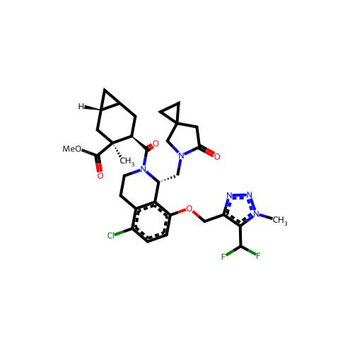 COC(=O)[C@@]1(C)C[C@@H]2CC2C[C@H]1C(=O)N1CCc2c(Cl)ccc(OCc3nnn(C)c3C(F)F)c2[C@H]1CN1CC2(CC2)CC1=O